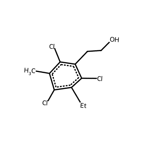 CCc1c(Cl)c(C)c(Cl)c(CCO)c1Cl